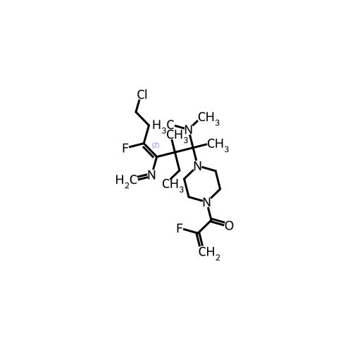 C=N/C(=C(\F)CCCl)C(C)(CC)C(C)(N(C)C)N1CCN(C(=O)C(=C)F)CC1